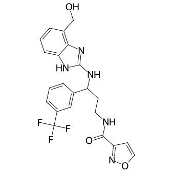 O=C(NCCC(Nc1nc2c(CO)cccc2[nH]1)c1cccc(C(F)(F)F)c1)c1ccon1